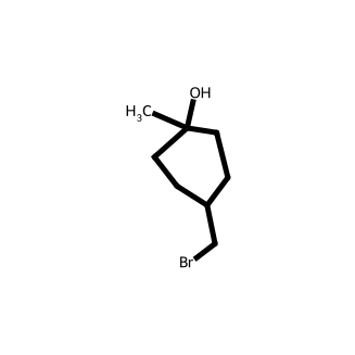 CC1(O)CCC(CBr)CC1